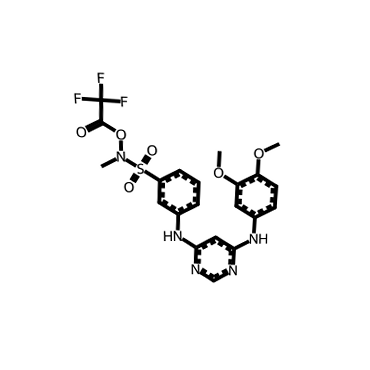 COc1ccc(Nc2cc(Nc3cccc(S(=O)(=O)N(C)OC(=O)C(F)(F)F)c3)ncn2)cc1OC